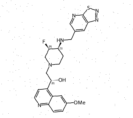 COc1ccc2nccc([C@@H](O)CN3CC[C@H](NCc4cnc5snnc5c4)[C@H](F)C3)c2c1